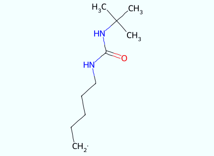 [CH2]CCCCNC(=O)NC(C)(C)C